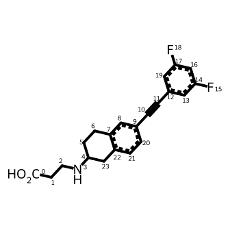 O=C(O)CCNC1CCc2cc(C#Cc3cc(F)cc(F)c3)ccc2C1